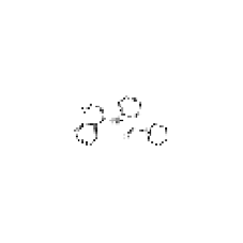 O=C(c1ccccc1Nc1ccnc2ccccc12)N1CCCCC1